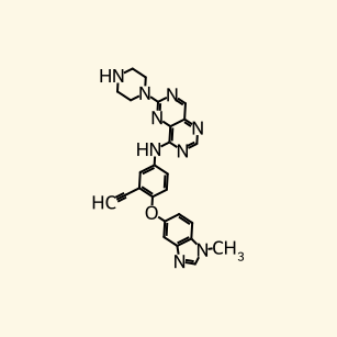 C#Cc1cc(Nc2ncnc3cnc(N4CCNCC4)nc23)ccc1Oc1ccc2c(c1)ncn2C